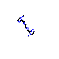 CN1CCN=C1C=NCCN=CC1=NCCN1C